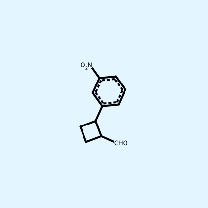 O=CC1CCC1c1cccc([N+](=O)[O-])c1